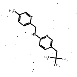 Cc1ccc(CNc2ccc(CC(C)(C)C)cn2)cc1